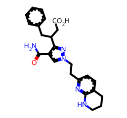 NC(=O)c1cn(CCc2ccc3c(n2)NCCC3)nc1C(CC(=O)O)Cc1ccccc1